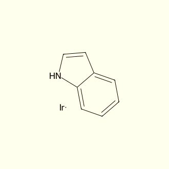 [Ir].c1ccc2[nH]ccc2c1